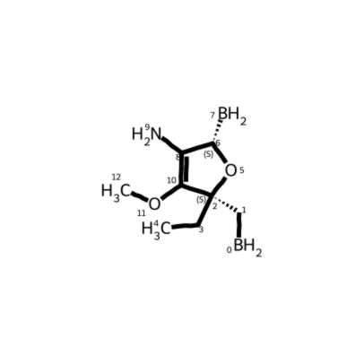 BC[C@@]1(CC)O[C@@H](B)C(N)=C1OC